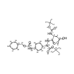 CC(C)(C)OC(=O)N[C@@H](CC(=O)O)C(=O)NN(C(=O)OC(C)(C)C)c1ccc(NC(=O)OCc2ccccc2)cc1